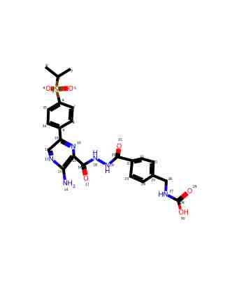 CC(C)S(=O)(=O)c1ccc(-c2cnc(N)c(C(=O)NNC(=O)c3ccc(CNC(=O)O)cc3)n2)cc1